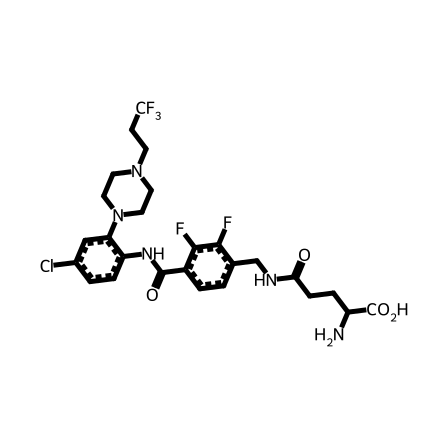 NC(CCC(=O)NCc1ccc(C(=O)Nc2ccc(Cl)cc2N2CCN(CCC(F)(F)F)CC2)c(F)c1F)C(=O)O